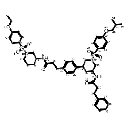 CCOc1ccc(S(=O)(=O)N2CCCC(NC(=O)CCc3ccc(C4CC(NC(=O)CCc5ccccc5)CN(S(=O)(=O)c5ccc(OCC(C)C)cc5)C4)cc3)C2)cc1